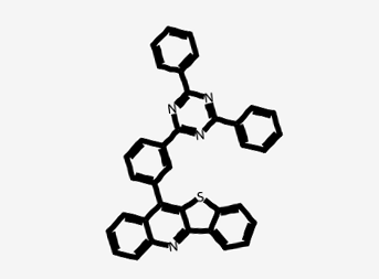 c1ccc(-c2nc(-c3ccccc3)nc(-c3cccc(-c4c5ccccc5nc5c4sc4ccccc45)c3)n2)cc1